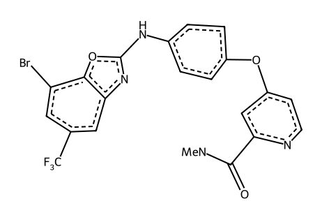 CNC(=O)c1cc(Oc2ccc(Nc3nc4cc(C(F)(F)F)cc(Br)c4o3)cc2)ccn1